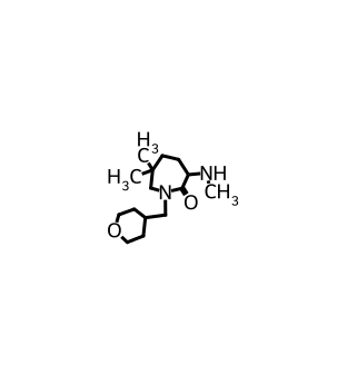 CNC1CCC(C)(C)CN(CC2CCOCC2)C1=O